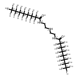 O=C(NCCNCCNC(=O)C(F)(F)C(F)(F)C(F)(F)C(F)(F)C(F)(F)C(F)(F)C(F)(F)F)C(F)(F)C(F)(F)C(F)(F)C(F)(F)C(F)(F)C(F)(F)C(F)(F)F